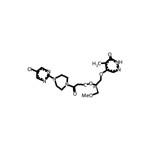 COC[C@H](COc1cn[nH]c(=O)c1C)OCCC(=O)N1CCN(c2ncc(Cl)cn2)CC1